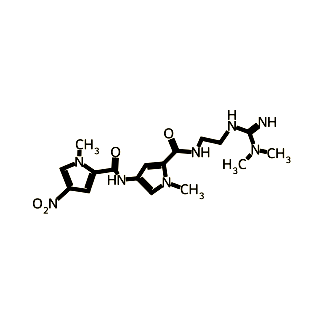 CN(C)C(=N)NCCNC(=O)c1cc(NC(=O)c2cc([N+](=O)[O-])cn2C)cn1C